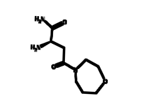 NC(=O)[C@H](N)CC(=O)N1CCCOCC1